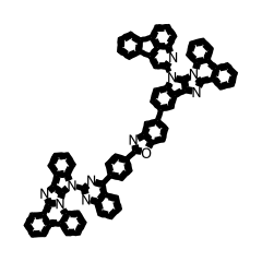 c1ccc2c(c1)-c1cccc3nc(-n4c5ccc(-c6ccc7oc(-c8ccc(-c9nc(-n%10c%11ccccc%11c%11nc%12c%13ccccc%13c%13ccccc%13n%12c%11%10)nc%10ccccc9%10)cc8)nc7c6)cc5c5nc6c7ccccc7c7ccccc7n6c54)cc-2c13